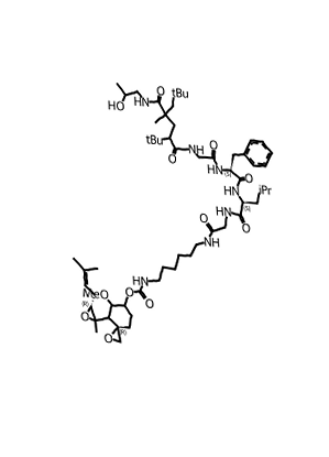 COC1C(OC(=O)NCCCCCCNC(=O)CNC(=O)[C@H](CC(C)C)NC(=O)[C@H](Cc2ccccc2)NC(=O)CNC(=O)C(CC(C)(CC(C)(C)C)C(=O)NCC(C)O)C(C)(C)C)CC[C@]2(CO2)C1C1(C)O[C@@H]1CC=C(C)C